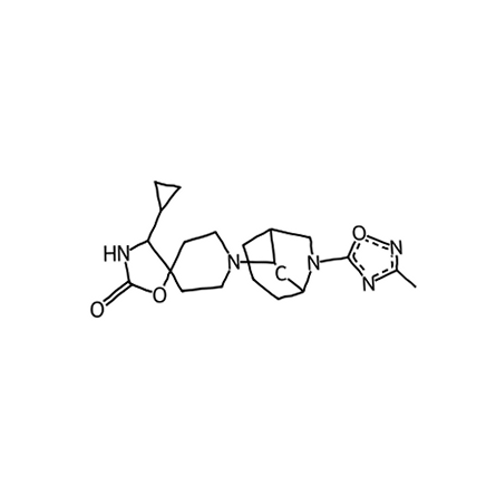 Cc1noc(N2CC3CCCC2CC3N2CCC3(CC2)OC(=O)NC3C2CC2)n1